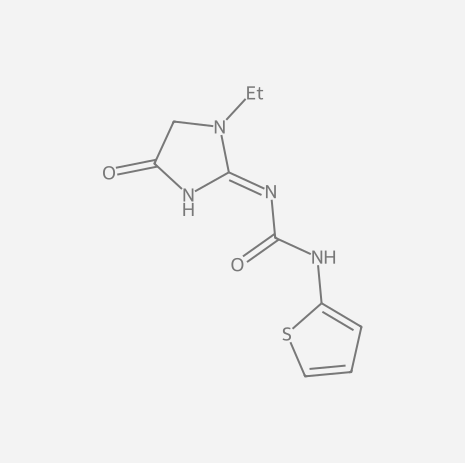 CCN1CC(=O)NC1=NC(=O)Nc1cccs1